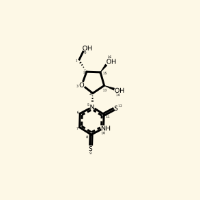 OC[C@H]1O[C@@H](n2ccc(=S)[nH]c2=S)[C@H](O)[C@@H]1O